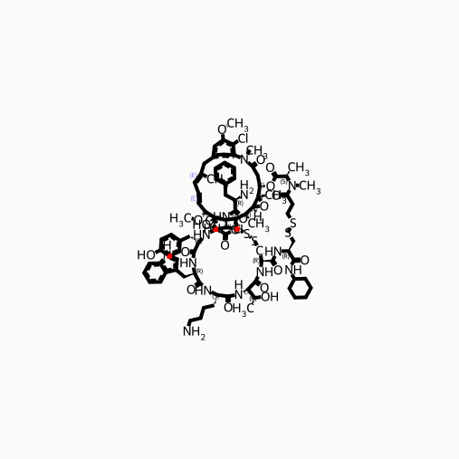 COc1cc2cc(c1Cl)N(C)C(=O)C[C@H](OC(=O)[C@H](C)N(C)C(=O)CCSSC[C@H](NC(=O)[C@@H]1CSSC[C@H](NC(=O)[C@H](N)Cc3ccccc3)C(=O)N[C@@H](Cc3ccc(O)cc3)C(=O)N[C@H](Cc3c[nH]c4ccccc34)C(=O)N[C@@H](CCCCN)C(=O)N[C@@H]([C@@H](C)O)C(=O)N1)C(=O)NC1CCCCC1)[C@]1(C)O[C@H]1[C@H](C)[C@@H]1C[C@@](O)(NC(=O)O1)[C@H](OC)/C=C/C=C(\C)C2